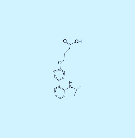 CC(C)Nc1ccccc1-c1ccc(OCCCC(=O)O)cc1